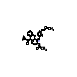 COCCn1ccc(/C=C2\CN(C(C(=O)C3CC3)c3ccccc3F)CCC2SC(C)=O)n1